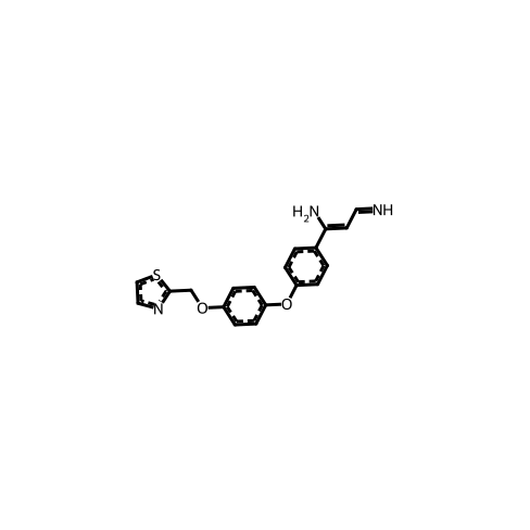 N=C/C=C(\N)c1ccc(Oc2ccc(OCc3nccs3)cc2)cc1